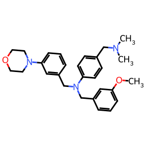 COc1cccc(CN(Cc2cccc(N3CCOCC3)c2)c2ccc(CN(C)C)cc2)c1